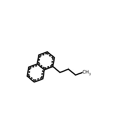 CC[CH]Cc1cccc2ccccc12